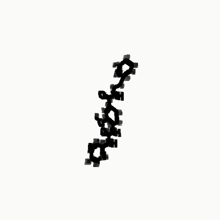 COc1cc(C(=O)NCCc2ccccn2)ccc1NC(=O)Nc1cnccn1